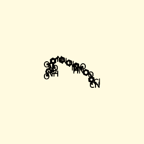 N#Cc1ccc(OC2CCC(NC(=O)c3ccc(N4CCC(N5CCN(Cc6ccc7c(c6)C(=O)N(C6CCC(=O)NC6=O)C7=O)CC5)CC4)nn3)CC2)cc1Cl